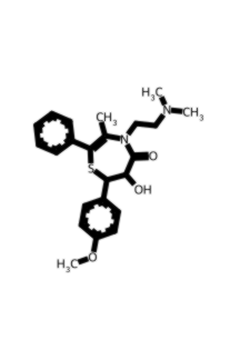 COc1ccc(C2SC(c3ccccc3)=C(C)N(CCN(C)C)C(=O)C2O)cc1